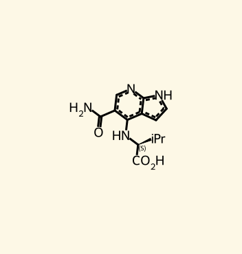 CC(C)[C@H](Nc1c(C(N)=O)cnc2[nH]ccc12)C(=O)O